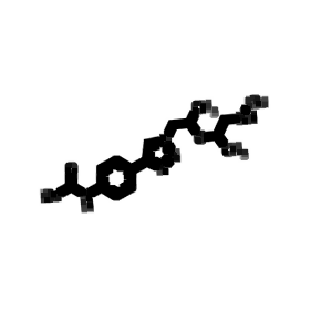 CCC(C)C(=O)Nc1ccc(-c2cn(CC(C)OC(C)CNC(C)(C)C)nn2)cc1